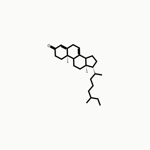 CCC(C)CCCC(C)[C@H]1CCC2C3=CCC4=CC(=O)CC[C@]4(C)C3CC[C@@]21C